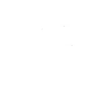 COc1ccc(C2=C(O)C(C=O)c3c(O)cc(O)c(CCC(C)C)c3O2)cc1